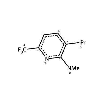 CNc1nc(C(F)(F)F)ccc1C(C)C